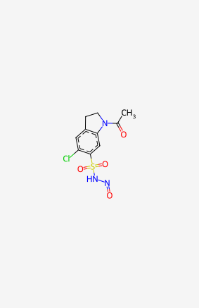 CC(=O)N1CCc2cc(Cl)c(S(=O)(=O)NN=O)cc21